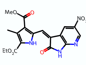 CCOC(=O)c1[nH]c(C=C2C(=O)Nc3ncc([N+](=O)[O-])cc32)c(C(=O)OC)c1C